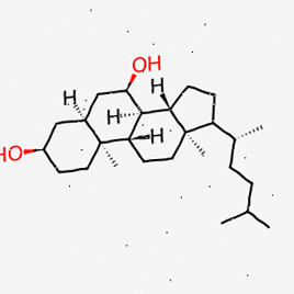 CC(C)CC[C@@H](C)C1CC[C@H]2[C@@H]3[C@H](O)C[C@@H]4C[C@H](O)CC[C@]4(C)[C@H]3CC[C@]12C